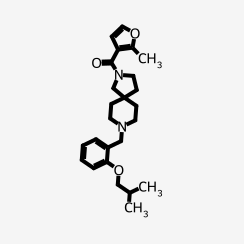 Cc1occc1C(=O)N1CCC2(CCN(Cc3ccccc3OCC(C)C)CC2)C1